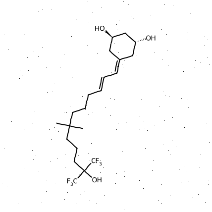 CC(C)(CCCC=CC=C1C[C@@H](O)C[C@H](O)C1)CCCC(O)(C(F)(F)F)C(F)(F)F